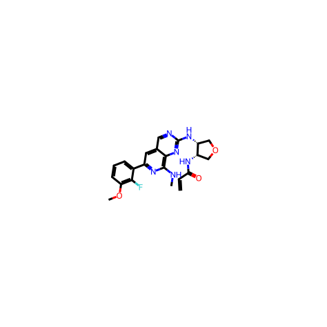 C=CC(=O)N[C@H]1COC[C@H]1Nc1ncc2cc(-c3cccc(OC)c3F)nc(NC)c2n1